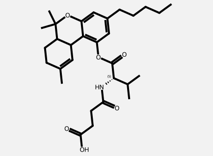 CCCCCc1cc(OC(=O)[C@@H](NC(=O)CCC(=O)O)C(C)C)c2c(c1)OC(C)(C)C1CCC(C)=CC21